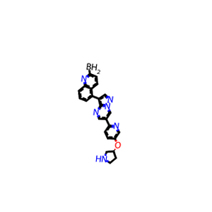 Bc1ccc2c(-c3cnn4cc(-c5ccc(O[C@@H]6CCNC6)cn5)cnc34)cccc2n1